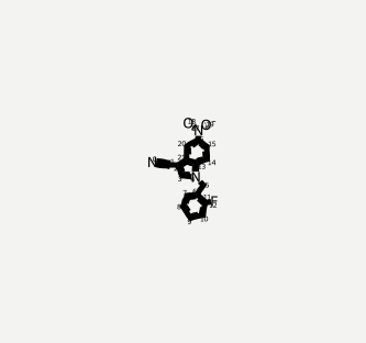 N#Cc1cn(Cc2ccccc2F)c2ccc([N+](=O)[O-])cc12